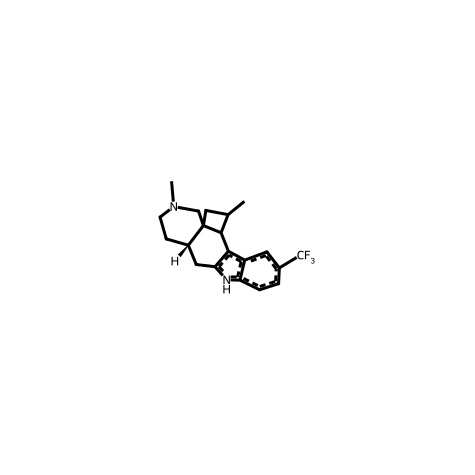 CC1CC23CN(C)CC[C@H]2Cc2[nH]c4ccc(C(F)(F)F)cc4c2C13